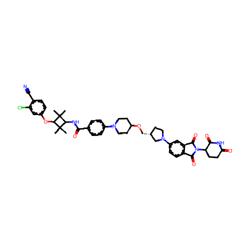 CC1(C)C(NC(=O)c2ccc(N3CCC(OC[C@@H]4CCN(c5ccc6c(c5)C(=O)N(C5CCC(=O)NC5=O)C6=O)C4)CC3)cc2)C(C)(C)C1Oc1ccc(C#N)c(Cl)c1